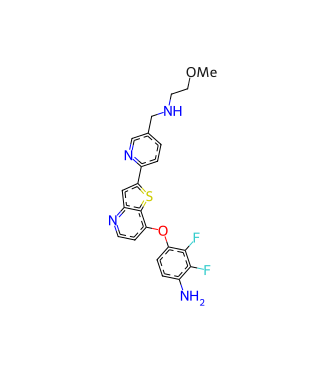 COCCNCc1ccc(-c2cc3nccc(Oc4ccc(N)c(F)c4F)c3s2)nc1